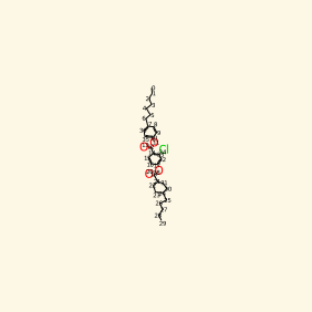 CCCCCCCc1ccc(OC(=O)c2ccc(OC(=O)C3CCC(CCCCC)CC3)cc2Cl)cc1